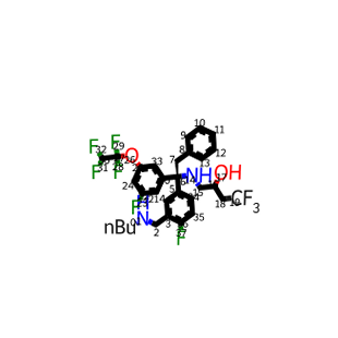 CCCCNCc1cc([C@@](Cc2ccccc2)(NCC(O)CC(F)(F)F)c2cc(F)cc(OC(F)(F)C(F)F)c2)ccc1F